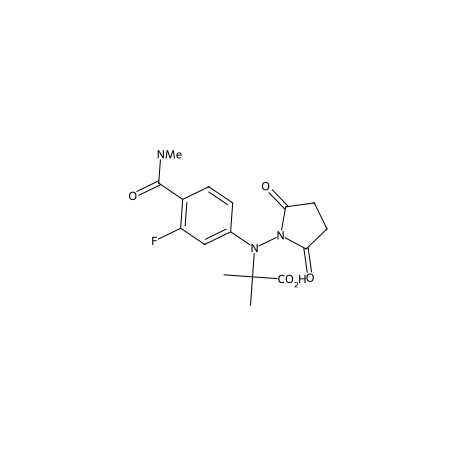 CNC(=O)c1ccc(N(N2C(=O)CCC2=O)C(C)(C)C(=O)O)cc1F